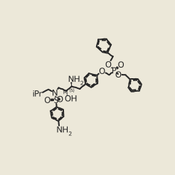 CC(C)CN(C[C@@H](O)[C@@H](N)Cc1ccc(OCP(=O)(OCc2ccccc2)OCc2ccccc2)cc1)S(=O)(=O)c1ccc(N)cc1